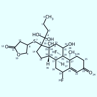 CCCC(O)(O)C1(SC2COC(=O)C2)CC[C@H]2[C@@H]3CC(F)C4=CC(=O)CC[C@]4(C)[C@]3(F)C(O)C[C@@]21C